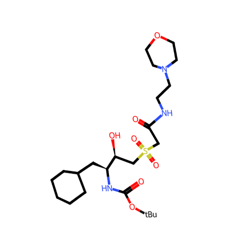 CC(C)(C)OC(=O)N[C@@H](CC1CCCCC1)[C@@H](O)CS(=O)(=O)CC(=O)NCCN1CCOCC1